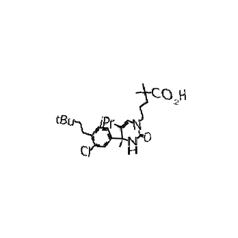 CC(C)C1=CN(CCCC(C)(C)C(=O)O)C(=O)N[C@]1(C)c1ccc(CCC(C)(C)C)c(Cl)c1